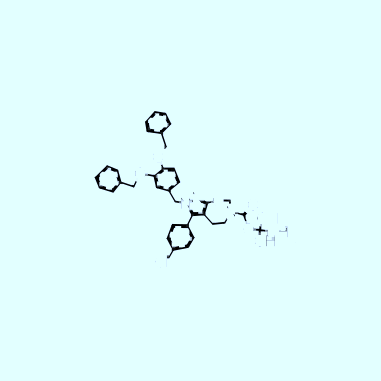 CC(C)(C)OC(=O)N1CCc2nn(Cc3ccc(OCc4ccccc4)c(OCc4ccccc4)c3)c(-c3ccc(Cl)cc3)c2CC1